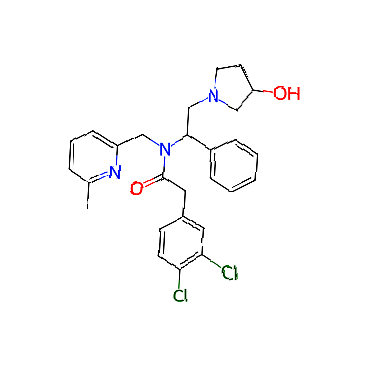 Cc1cccc(CN(C(=O)Cc2ccc(Cl)c(Cl)c2)C(CN2CCC(O)C2)c2ccccc2)n1